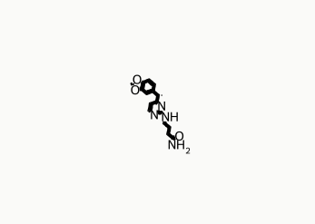 NC(=O)CCCNc1nccc([CH]c2ccc3c(c2)OCO3)n1